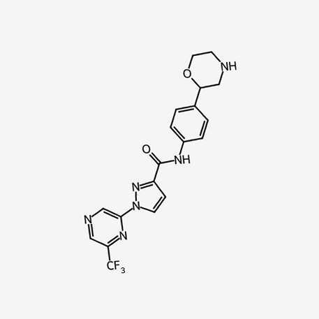 O=C(Nc1ccc(C2CNCCO2)cc1)c1ccn(-c2cncc(C(F)(F)F)n2)n1